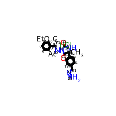 CCOC(=O)C[C@@H](c1ccccc1)N(C(C)=O)N1C(=O)N[C@@](C)(c2ccc(C=NN)cc2)C1=O.Cl